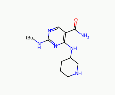 CC(C)(C)Nc1ncc(C(N)=O)c(NC2CCCNC2)n1